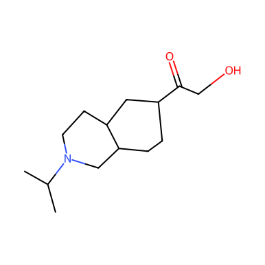 CC(C)N1CCC2CC(C(=O)CO)CCC2C1